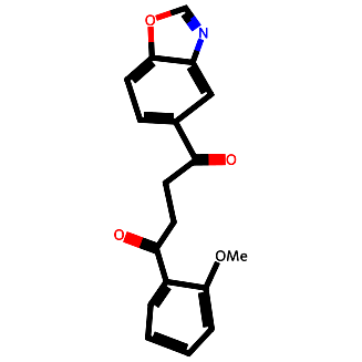 COc1ccccc1C(=O)CCC(=O)c1ccc2ocnc2c1